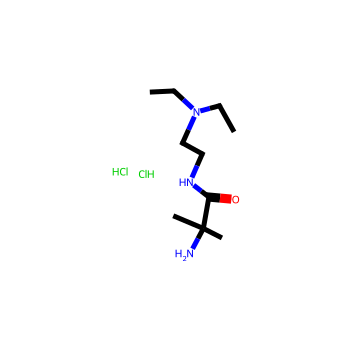 CCN(CC)CCNC(=O)C(C)(C)N.Cl.Cl